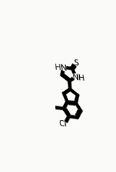 Cc1c(Cl)ccc2c1CC(c1c[nH]c(=S)[nH]1)C2